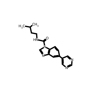 CC(C)CCNC(=O)n1cnc2cc(-c3cncnc3)ccc21